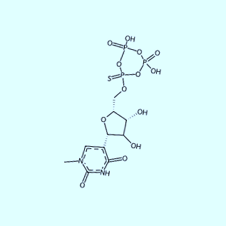 Cn1cc([C@@H]2O[C@H](COP3(=S)OP(=O)(O)OP(=O)(O)O3)[C@H](O)C2O)c(=O)[nH]c1=O